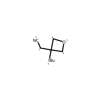 CC(C)(C)C1(CC#N)COC1